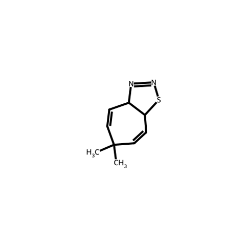 CC1(C)C=CC2N=NSC2C=C1